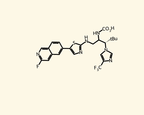 CC(C)(C)[C@@H](C(CNc1ncc(-c2ccc3cnc(F)cc3c2)s1)NC(=O)O)n1cnc(C(F)(F)F)c1